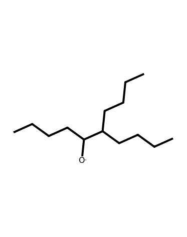 CCCCC([O])C(CCCC)CCCC